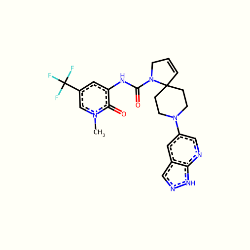 Cn1cc(C(F)(F)F)cc(NC(=O)N2CC=CC23CCN(c2cnc4[nH]ncc4c2)CC3)c1=O